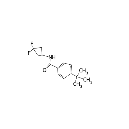 CC(C)(C)c1ccc(C(=O)NC2CC(F)(F)C2)cc1